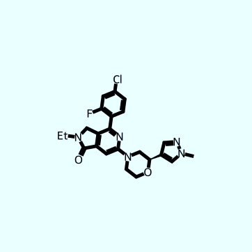 CCN1Cc2c(cc(N3CCO[C@H](c4cnn(C)c4)C3)nc2-c2ccc(Cl)cc2F)C1=O